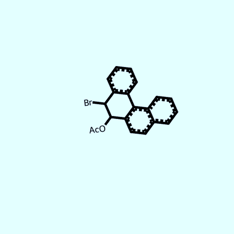 CC(=O)OC1c2ccc3ccccc3c2-c2ccccc2C1Br